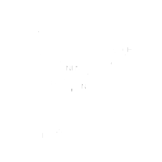 CCOc1ccc2c(c1)CCN(C(=O)CC[C@@H](C)C(=O)O)[C@H]2C(=O)Nc1cc(F)c2c(c1)CCC2(C)C